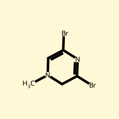 CN1C=C(Br)N=C(Br)C1